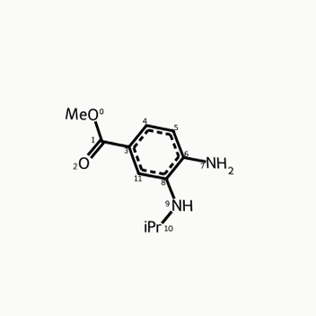 COC(=O)c1ccc(N)c(NC(C)C)c1